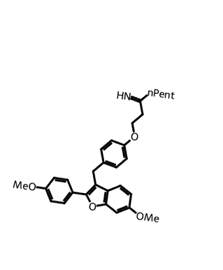 CCCCCC(=N)CCOc1ccc(Cc2c(-c3ccc(OC)cc3)oc3cc(OC)ccc23)cc1